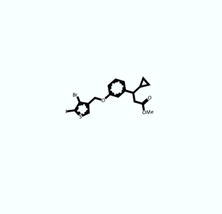 COC(=O)CC(c1cccc(OCc2csc(I)c2Br)c1)C1CC1